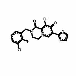 O=C1c2c(O)c(=O)c(-c3nccs3)cn2CCN1Cc1cccc(Cl)c1F